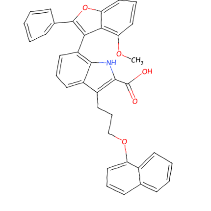 COc1cccc2oc(-c3ccccc3)c(-c3cccc4c(CCCOc5cccc6ccccc56)c(C(=O)O)[nH]c34)c12